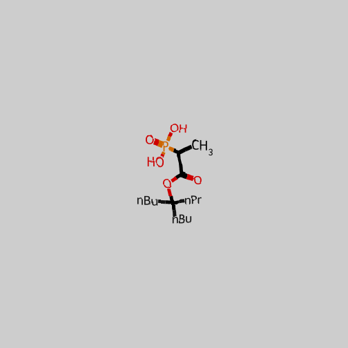 CCCCC(CCC)(CCCC)OC(=O)C(C)P(=O)(O)O